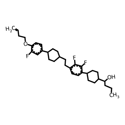 C=CCCOc1ccc(C2CCC(CCc3ccc(C4CCC(C(O)CCC)CC4)c(F)c3F)CC2)cc1F